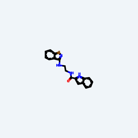 O=C(NCCNc1nsc2ccccc12)c1cc2ccccc2[nH]1